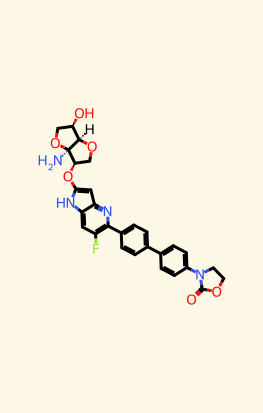 N[C@]12OC[C@@H](O)[C@H]1OC[C@H]2Oc1cc2nc(-c3ccc(-c4ccc(N5CCOC5=O)cc4)cc3)c(F)cc2[nH]1